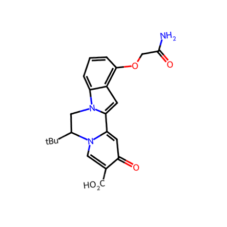 CC(C)(C)C1Cn2c(cc3c(OCC(N)=O)cccc32)-c2cc(=O)c(C(=O)O)cn21